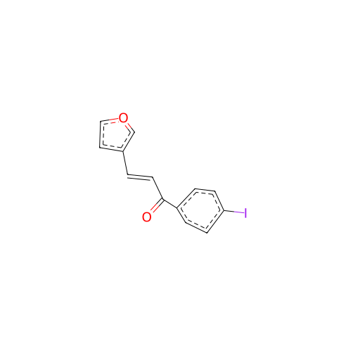 O=C(C=Cc1ccoc1)c1ccc(I)cc1